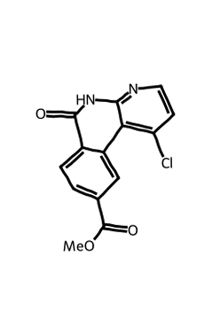 COC(=O)c1ccc2c(=O)[nH]c3nccc(Cl)c3c2c1